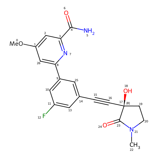 COc1cc(C(N)=O)nc(-c2cc(F)cc(C#C[C@]3(O)CCN(C)C3=O)c2)c1